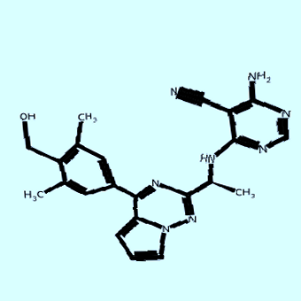 Cc1cc(-c2nc([C@H](C)Nc3ncnc(N)c3C#N)nn3cccc23)cc(C)c1CO